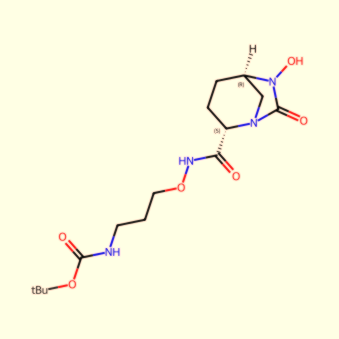 CC(C)(C)OC(=O)NCCCONC(=O)[C@@H]1CC[C@@H]2CN1C(=O)N2O